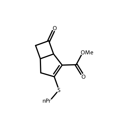 CCCSC1=C(C(=O)OC)C2C(=O)CC2C1